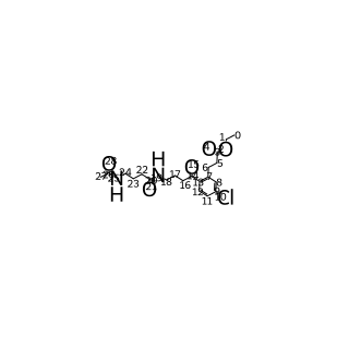 CCOC(=O)CCc1cc(Cl)ccc1C(=O)CCCNC(=O)CCCNC(C)=O